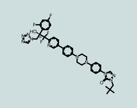 CC(C)(C)Cn1ncn(-c2ccc(N3CCN(c4ccc(-c5ccc(C(F)(F)[C@](O)(Cn6cnnn6)c6ccc(F)cc6F)nc5)cc4)CC3)cc2)c1=O